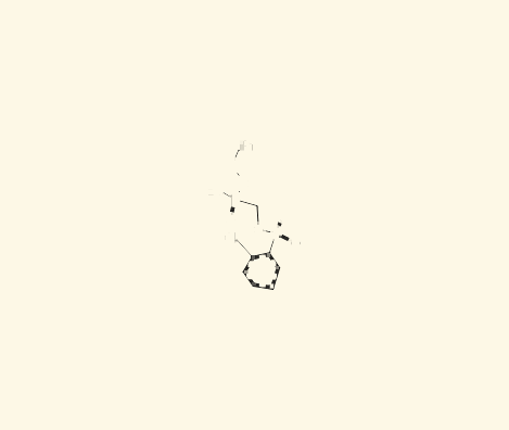 CCP(=O)(COS(=O)(=O)c1ccccc1Cl)OOC(C)C